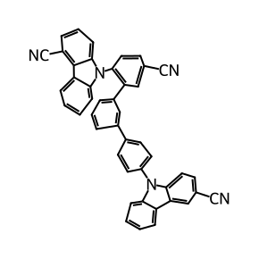 N#Cc1ccc(-n2c3ccccc3c3c(C#N)cccc32)c(-c2cccc(-c3ccc(-n4c5ccccc5c5cc(C#N)ccc54)cc3)c2)c1